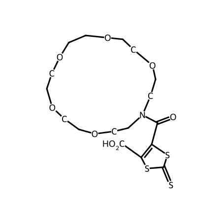 O=C(O)c1sc(=S)sc1C(=O)N1CCOCCOCCOCCOCCOCC1